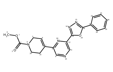 COC(=O)N1CC=C(c2cncc(-c3nnc(-c4ccccc4)o3)n2)CC1